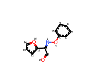 O=[C]C(=NOc1ccccc1)c1ccco1